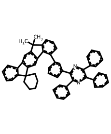 CC1(C)c2cc3c(cc2-c2c(-c4cccc(-c5nc(-c6ccccc6)c(-c6ccccc6)nc5-c5ccccc5)c4)cccc21)C1(CCCCC1)c1ccccc1-3